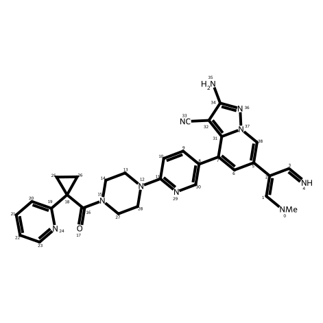 CN/C=C(\C=N)c1cc(-c2ccc(N3CCN(C(=O)C4(c5ccccn5)CC4)CC3)nc2)c2c(C#N)c(N)nn2c1